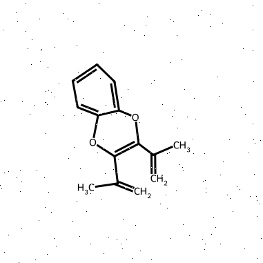 C=C(C)C1=C(C(=C)C)Oc2ccccc2O1